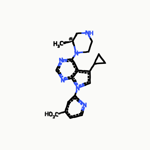 C[C@H]1CNCCN1c1ncnc2c1c(C1CC1)cn2-c1cc(C(=O)O)ccn1